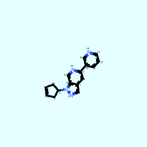 C1=CCC(n2ncc3cc(-c4cccnc4)ncc32)C1